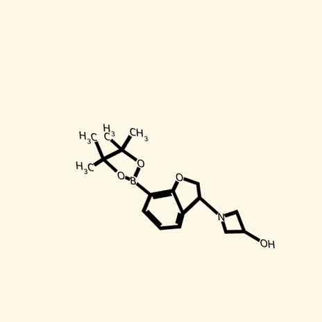 CC1(C)OB(c2cccc3c2OCC3N2CC(O)C2)OC1(C)C